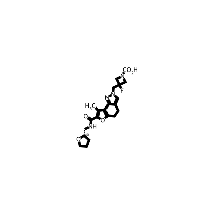 Cc1c(C(=O)NC[C@@H]2CCCO2)oc2c1-c1nn(CC3(F)CN(C(=O)O)C3)cc1CC2